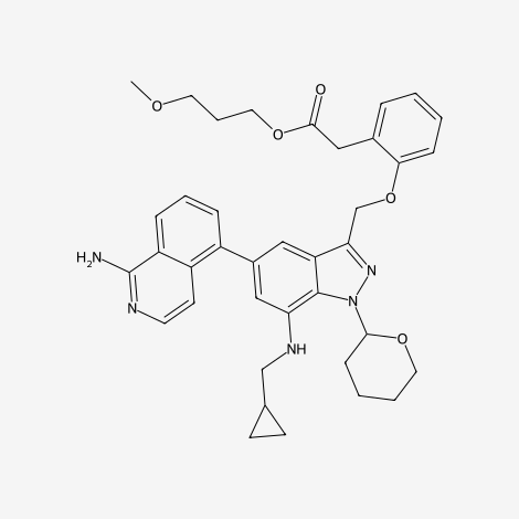 COCCCOC(=O)Cc1ccccc1OCc1nn(C2CCCCO2)c2c(NCC3CC3)cc(-c3cccc4c(N)nccc34)cc12